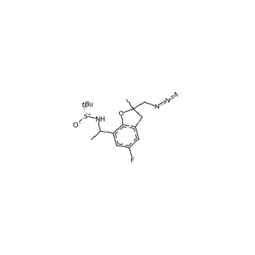 CC(N[S@+]([O-])C(C)(C)C)c1cc(F)cc2c1OC(C)(CN=[N+]=[N-])C2